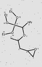 CCCC(OC(C)CC1CO1)[Si](OCC)(OCC)OCC